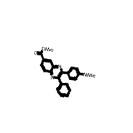 CNc1ccc(-c2nc3cc(C(=O)OC)ccc3nc2-c2ccccc2)cc1